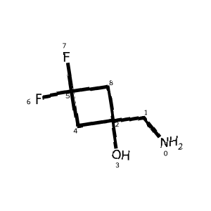 NCC1(O)CC(F)(F)C1